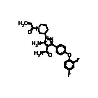 C=CC(=O)N1CCC[C@@H](n2nc(-c3ccc(Oc4ccc(F)cc4F)cc3)c(C(N)=O)c2N)C1